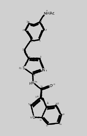 CC(=O)Nc1ccc(Cc2cnc(NC(=O)c3coc4ccccc34)s2)cc1